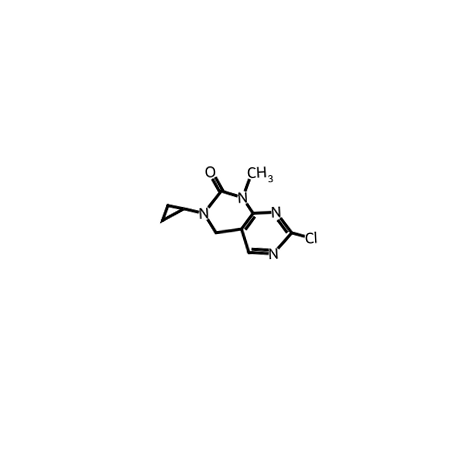 CN1C(=O)N(C2CC2)Cc2cnc(Cl)nc21